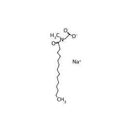 CCCCCCCCCCCCCC(=O)N(C)CC(=O)[O-].[Na+]